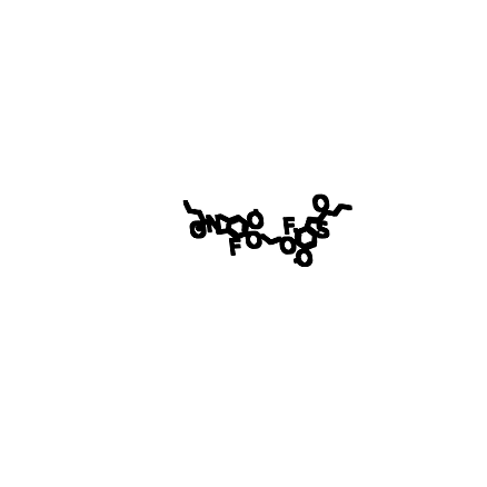 CCCC(=O)c1cc2c(F)c(OCCCOc3c(OC)cc4c(c3F)CN(C(=O)CCC)C4)c(OC)cc2s1